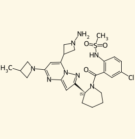 CC1CN(c2cc(C3CN(N)C3)n3nc([C@@H]4CCCCN4C(=O)c4cc(Cl)ccc4NS(C)(=O)=O)cc3n2)C1